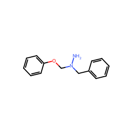 NN(COc1ccccc1)Cc1ccccc1